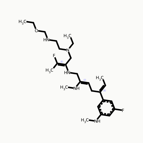 C/C=C(\C/C=C(/CN/C(CN(CC)CCNCOCC)=C(\C)F)NC)c1cc(F)cc(NC)c1